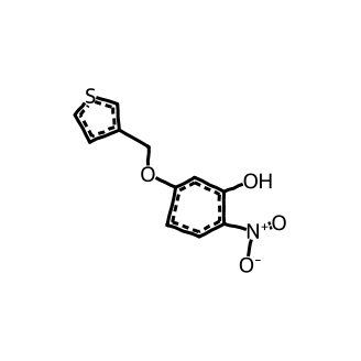 O=[N+]([O-])c1ccc(OCc2ccsc2)cc1O